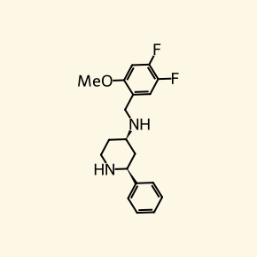 COc1cc(F)c(F)cc1CN[C@@H]1CCN[C@H](c2ccccc2)C1